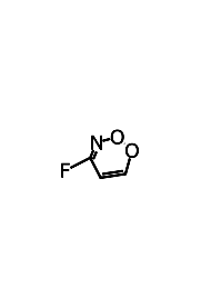 FC1=NOOC=C1